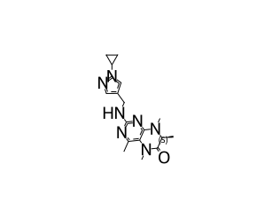 Cc1nc(NCc2cnn(C3CC3)c2)nc2c1N(C)C(=O)[C@H](C)N2C